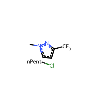 CCCCCCl.Cn1ccc(C(F)(F)F)n1